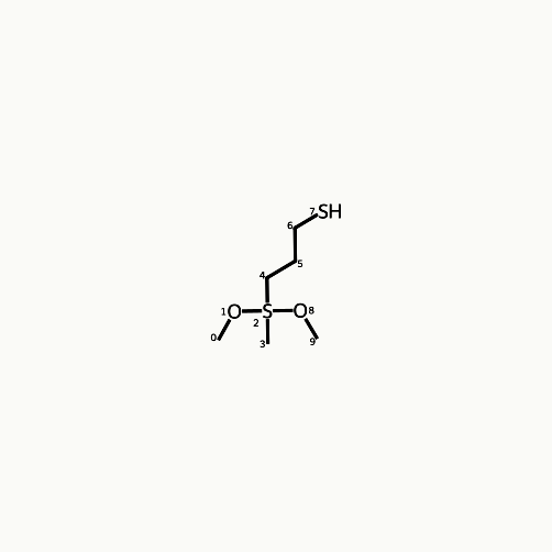 COS(C)(CCCS)OC